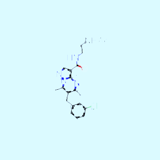 CC(=O)NCCNC(=O)c1cnn2c(C)c(Cc3cccc(Cl)c3)c(C)nc12